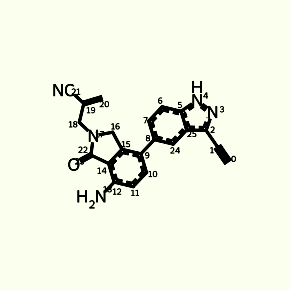 C#Cc1n[nH]c2ccc(-c3ccc(N)c4c3CN(CC(=C)C#N)C4=O)cc12